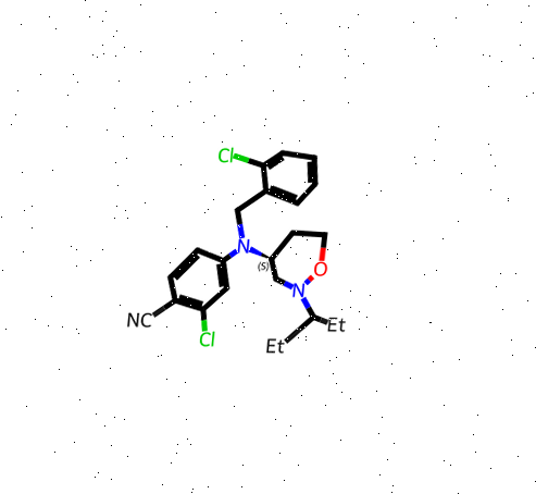 CCC(CC)N1C[C@@H](N(Cc2ccccc2Cl)c2ccc(C#N)c(Cl)c2)CCO1